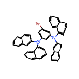 Brc1cc(N(c2ccc3ccccc3c2)c2cccc3ccccc23)cc(N(c2ccc3ccccc3c2)c2cccc3ccccc23)c1